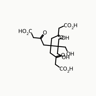 O=C(O)CC(=O)CC(CC(=O)CC(=O)O)(CC(=O)CC(=O)O)C(CO)(CO)CO